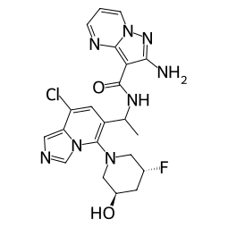 CC(NC(=O)c1c(N)nn2cccnc12)c1cc(Cl)c2cncn2c1N1C[C@H](O)C[C@@H](F)C1